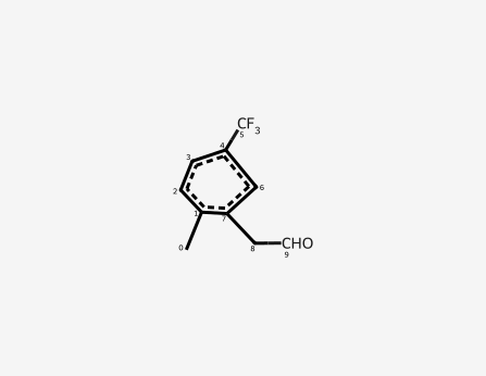 Cc1ccc(C(F)(F)F)cc1CC=O